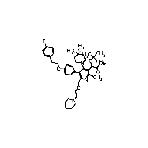 Cc1nc(COCCN2CCCCC2)c(-c2ccc(OCCc3ccc(F)cc3)cc2)c(N2CCC(C)(C)CC2)c1C(OC(C)(C)C)C(=O)O